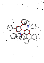 Cn1c2c(-c3ccccc3-c3ccccc3-c3cc(-c4ccccc4)cc(-c4ccccc4)c3)cccc2c2c1c(-c1ccccc1-c1ccccc1-c1cc(-c3ccccc3)cc(-c3ccccc3)c1)cc1c3ccccc3n(-c3ccccc3)c12